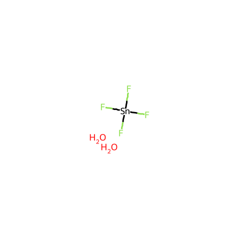 O.O.[F][Sn]([F])([F])[F]